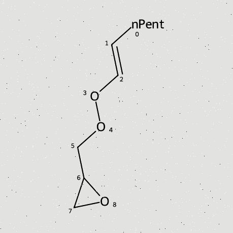 CCCCCC=COOCC1CO1